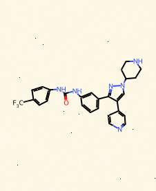 O=C(Nc1ccc(C(F)(F)F)cc1)Nc1cccc(-c2nn(C3CCNCC3)cc2-c2ccncc2)c1